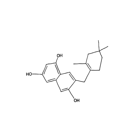 CC1=C(Cc2cc3c(O)cc(O)cc3cc2O)CCC(C)(C)C1